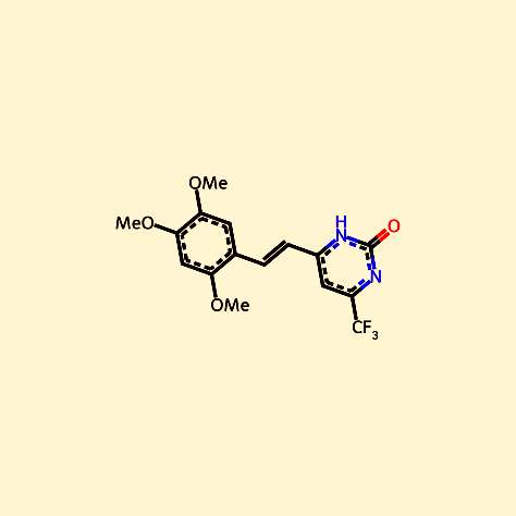 COc1cc(OC)c(OC)cc1C=Cc1cc(C(F)(F)F)nc(=O)[nH]1